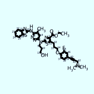 CCOC(=O)c1nc(N(CCCO)c2cc(C)c(Nc3nc4ccccc4s3)nn2)sc1CCCOc1ccc(C#CCN(C)C)cc1F